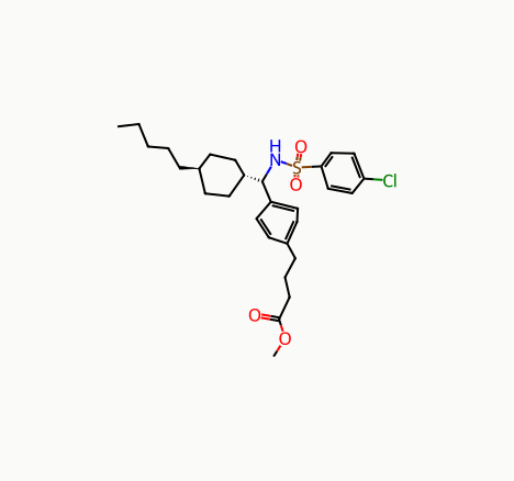 CCCCC[C@H]1CC[C@H](C(NS(=O)(=O)c2ccc(Cl)cc2)c2ccc(CCCC(=O)OC)cc2)CC1